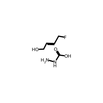 NNC(=O)O.OCC=CCF